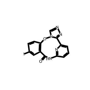 O=C1Nc2cccc(n2)-c2nncn2Oc2ccc(I)cc21